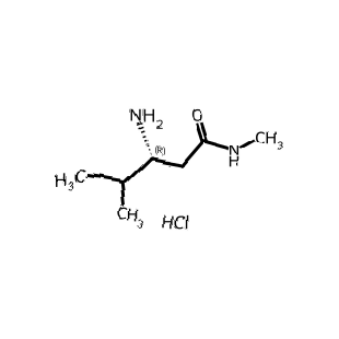 CNC(=O)C[C@@H](N)C(C)C.Cl